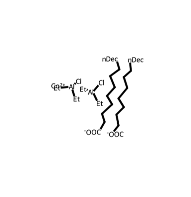 CCCCCCCCCCCCCCCCCC(=O)[O-].CCCCCCCCCCCCCCCCCC(=O)[O-].C[CH2][Al]([Cl])[CH2]C.C[CH2][Al]([Cl])[CH2]C.[Co+2]